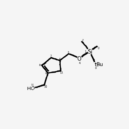 CC(C)(C)[Si](C)(C)OCC1CC=C(CO)C1